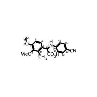 COc1c(OC(C)C)ccc(C(Nc2ccc(C#N)cc2)C(=O)O)c1C